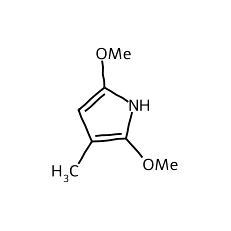 COc1cc(C)c(OC)[nH]1